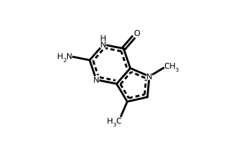 Cc1cn(C)c2c(=O)[nH]c(N)nc12